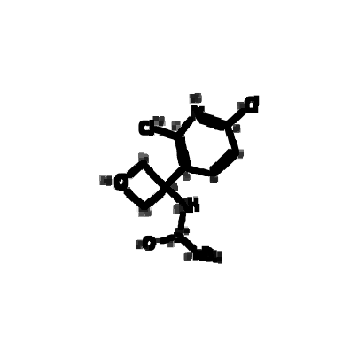 CCCC[S+]([O-])NC1(c2ccc(Cl)nc2Cl)COC1